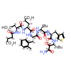 CCCC[C@H](NC(=O)[C@H](Cc1ccsc1)NC(=O)[C@@H](NC(=O)[C@H](Cc1ccccc1C)NC(=O)[C@H](CCC(=O)O)NC(=O)[C@H](CC(=O)O)NC(=O)CCC(=O)O)C(C)(C)C)C(=O)C(N)=O